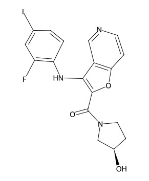 O=C(c1oc2ccncc2c1Nc1ccc(I)cc1F)N1CC[C@@H](O)C1